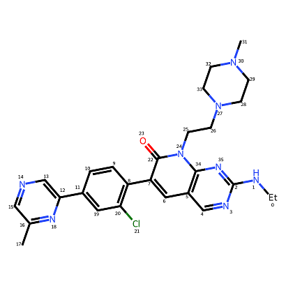 CCNc1ncc2cc(-c3ccc(-c4cncc(C)n4)cc3Cl)c(=O)n(CCN3CCN(C)CC3)c2n1